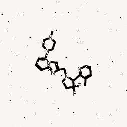 Cc1cccnc1C1N(Cc2cn3c(N4CCN(C)CC4)cccc3n2)CCC1(F)F